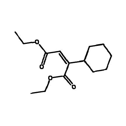 CCOC(=O)C=C(C(=O)OCC)C1CCCCC1